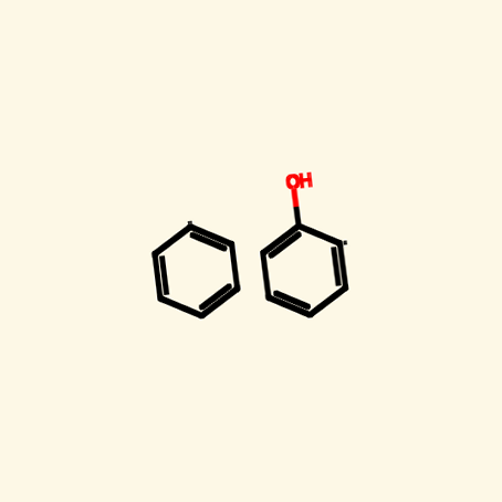 Oc1[c]cccc1.[c]1ccccc1